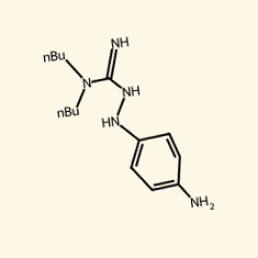 CCCCN(CCCC)C(=N)NNc1ccc(N)cc1